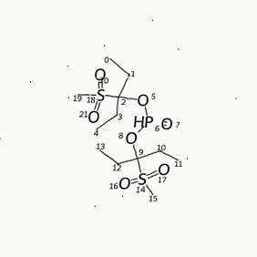 CCC(CC)(O[PH](=O)OC(CC)(CC)S(C)(=O)=O)S(C)(=O)=O